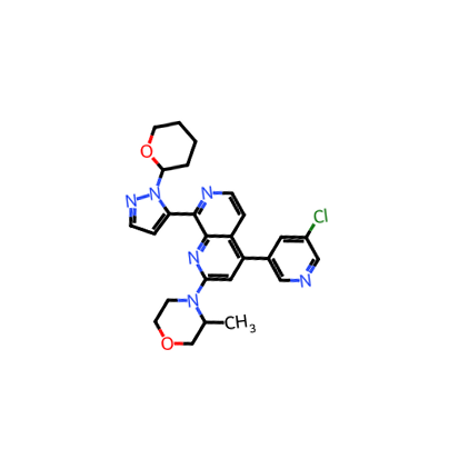 CC1COCCN1c1cc(-c2cncc(Cl)c2)c2ccnc(-c3ccnn3C3CCCCO3)c2n1